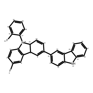 Fc1ccc2c(c1)C1C=C(c3ccc4[nH]c5ccccc5c4c3)C=CC1N2c1ccccc1F